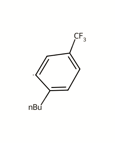 CCCCc1[c]cc(C(F)(F)F)cc1